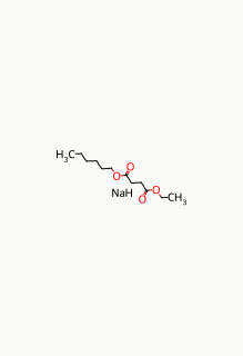 CCCCCCOC(=O)CCC(=O)OCC.[NaH]